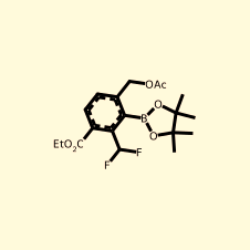 CCOC(=O)c1ccc(COC(C)=O)c(B2OC(C)(C)C(C)(C)O2)c1C(F)F